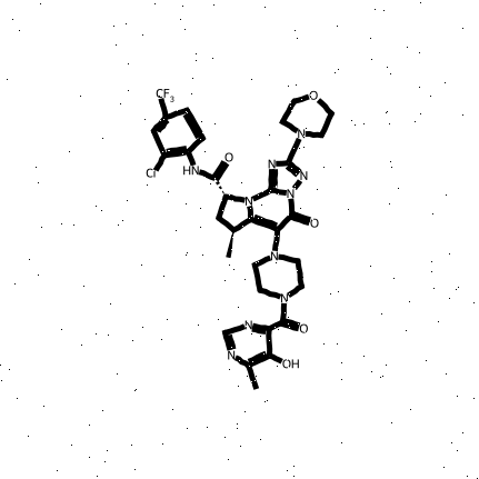 Cc1ncnc(C(=O)N2CCN(c3c4n(c5nc(N6CCOCC6)nn5c3=O)[C@@H](C(=O)Nc3ccc(C(F)(F)F)cc3Cl)C[C@@H]4C)CC2)c1O